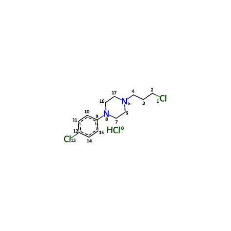 Cl.ClCCCN1CCN(c2ccc(Cl)cc2)CC1